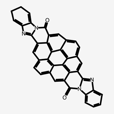 O=c1c2cc3ccc4cc5c6c(cc7ccc8cc(c2c2c8c7c6c4c32)c2nc3c(n12)=CCCC=3)c(=O)n1c2ccccc2nc51